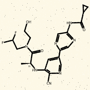 C[C@H](Nc1cc(-c2cnc(NC(=O)C3CC3)cn2)cnc1C#N)C(=O)N(CCO)CC(F)F